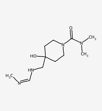 C/N=C\NCC1(O)CCN(C(=O)N(C)C)CC1